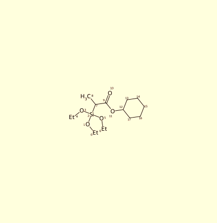 CCO[Si](OCC)(OCC)C(C)C(=O)OC1CCCCC1